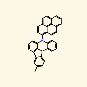 Cc1ccc2c(c1)-c1cccc3c1B2c1ccccc1N3c1ccc2ccc3cccc4ccc1c2c34